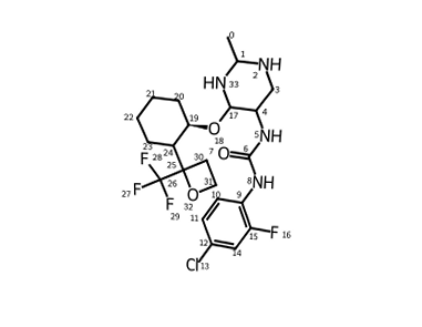 CC1NCC(NC(=O)Nc2ccc(Cl)cc2F)C(O[C@@H]2CCCCC2C2(C(F)(F)F)CCO2)N1